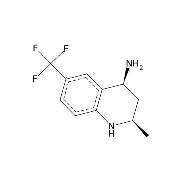 C[C@@H]1C[C@H](N)c2cc(C(F)(F)F)ccc2N1